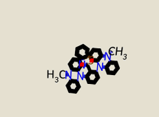 CN1c2ccccc2N(c2cccc(N3c4ccccc4N(C)c4ccccc43)c2-c2nc3ccccc3s2)c2ccccc21